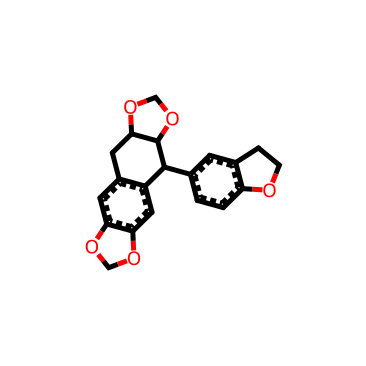 c1cc2c(cc1C1c3cc4c(cc3CC3OCOC31)OCO4)CCO2